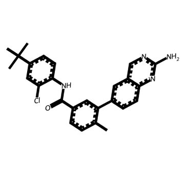 Cc1ccc(C(=O)Nc2ccc(C(C)(C)C)cc2Cl)cc1-c1ccc2nc(N)ncc2c1